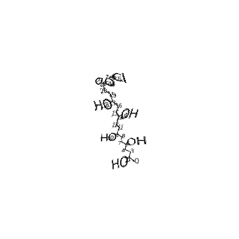 CC(O)CCC(O)CCC(O)CCC(O)CCC(O)CCC(=O)OCCl